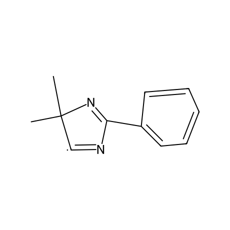 CC1(C)[C]=NC(c2ccccc2)=N1